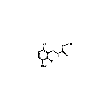 COc1ccc(Cl)c(CNC(=O)OC(C)(C)C)c1F